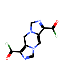 O=C(Cl)C1=NCN2Cc3c(C(=O)Cl)ncn3C=C12